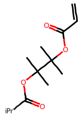 C=CC(=O)OC(C)(C)C(C)(C)OC(=O)C(C)C